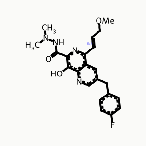 COC/C=C/c1nc(C(=O)NN(C)C)c(O)c2ncc(Cc3ccc(F)cc3)cc12